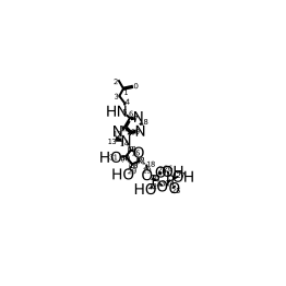 C=C(C)CCNc1ncnc2c1ncn2[C@@H]1O[C@H](COP(=O)(O)OP(=O)(O)O)[C@@H](O)[C@H]1O